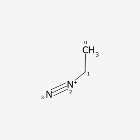 CC[N+]#N